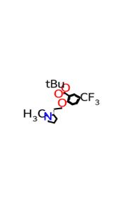 CN1CCC[C@H]1CCOc1ccc(C(F)(F)F)cc1C(=O)OC(C)(C)C